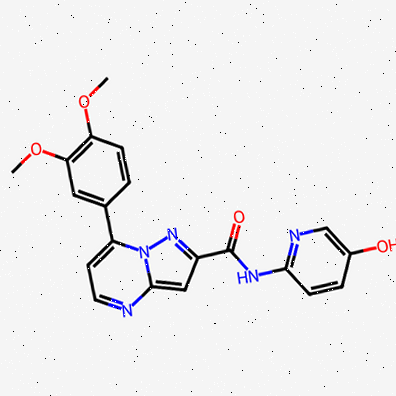 COc1ccc(-c2ccnc3cc(C(=O)Nc4ccc(O)cn4)nn23)cc1OC